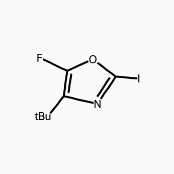 CC(C)(C)c1nc(I)oc1F